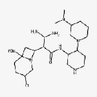 CCCCC12CCC(Cl)CN1C(C(C(=O)NC1CNCCC1N1CCCC(N(C)C)C1)C(N)N)C2